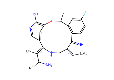 CC/C(=C1/NC/C(=C/NC)C(=N)c2ccc(F)cc2C(C)Oc2cc1cnc2N)C(N)C#N